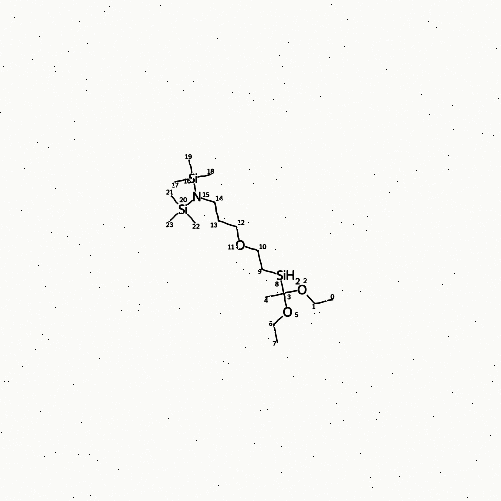 CCOC(C)(OCC)[SiH2]CCOCCCN([Si](C)(C)C)[Si](C)(C)C